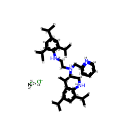 CC(C)c1cc(C(C)C)c(NCCN(CCNc2c(C(C)C)cc(C(C)C)cc2C(C)C)Cc2ccccn2)c(C(C)C)c1.[Cl-].[Cl-].[Ni+2]